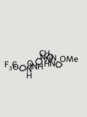 COc1cccc(Nc2nccc(N(C)c3ccc(NC(=O)Nc4ccc(OC(F)(F)F)cc4)cc3)n2)c1